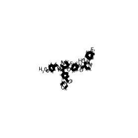 COc1ccc(Cn2nc(-c3ccc(C(=O)N4CCOCC4)cc3)c3c(Oc4ccc(NC(=O)c5ccnn(-c6ccc(F)cc6)c5=O)cc4F)ccnc32)cc1